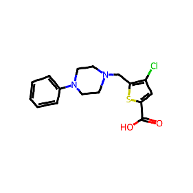 O=C(O)c1cc(Cl)c(CN2CCN(c3ccccc3)CC2)s1